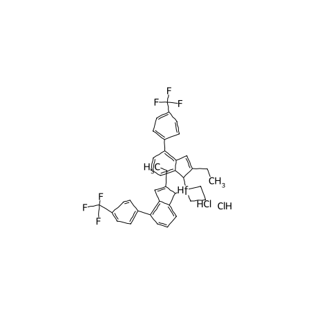 CCC1=Cc2c(-c3ccc(C(F)(F)F)cc3)cccc2[CH]1[Hf]1([CH]2C(CC)=Cc3c(-c4ccc(C(F)(F)F)cc4)cccc32)[CH2]C[CH2]1.Cl.Cl